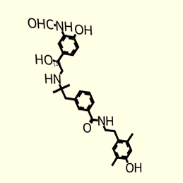 Cc1cc(CCNC(=O)c2cccc(CC(C)(C)NC[C@@H](O)c3ccc(O)c(NC=O)c3)c2)c(C)cc1O